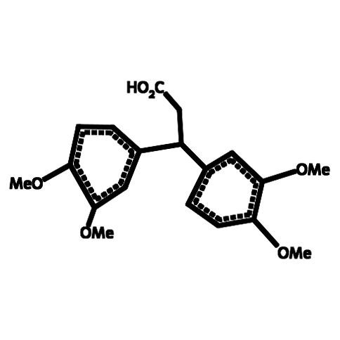 COc1ccc(C(CC(=O)O)c2ccc(OC)c(OC)c2)cc1OC